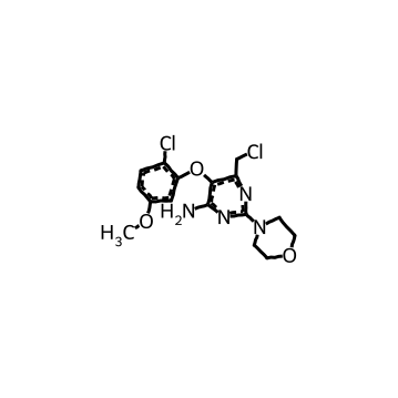 COc1ccc(Cl)c(Oc2c(N)nc(N3CCOCC3)nc2CCl)c1